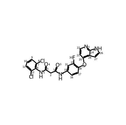 O=C(CC(=O)Nc1c(Cl)cccc1Cl)Nc1ccc(Oc2ccnc3[nH]ccc23)c(F)c1